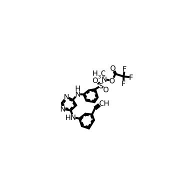 C#Cc1cccc(Nc2cc(Nc3cccc(S(=O)(=O)N(C)OC(=O)C(F)(F)F)c3)ncn2)c1